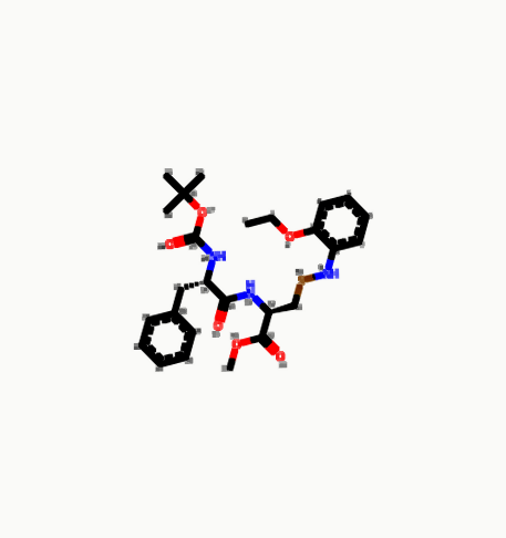 CCOc1ccccc1NSC[C@H](NC(=O)[C@H](Cc1ccccc1)NC(=O)OC(C)(C)C)C(=O)OC